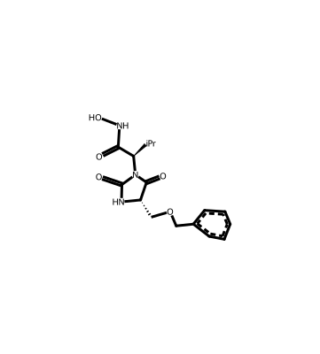 CC(C)[C@H](C(=O)NO)N1C(=O)N[C@@H](COCc2ccccc2)C1=O